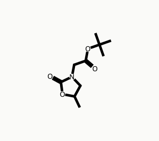 CC1CN(CC(=O)OC(C)(C)C)C(=O)O1